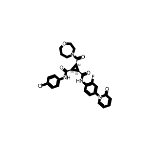 O=C(Nc1ccc(Cl)cc1)[C@@H]1[C@H](C(=O)Nc2ccc(-n3ccccc3=O)cc2F)[C@H]1C(=O)N1CCCOCC1